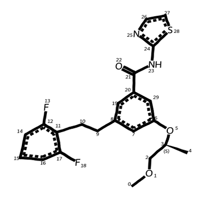 COC[C@H](C)Oc1cc(CCc2c(F)cccc2F)cc(C(=O)Nc2nccs2)c1